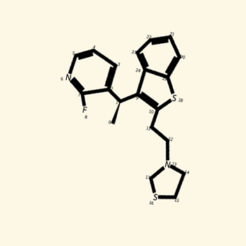 C[C@@H](c1cccnc1F)c1c(CCN2CCSC2)sc2ccccc12